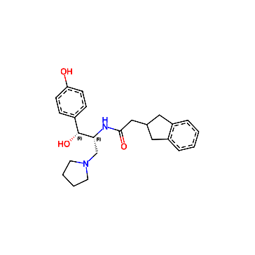 O=C(CC1Cc2ccccc2C1)N[C@H](CN1CCCC1)[C@H](O)c1ccc(O)cc1